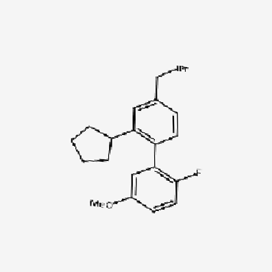 COc1ccc(F)c(-c2ccc(CC(C)C)cc2C2CCCC2)c1